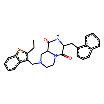 CCc1sc2ccccc2c1CN1CCN2C(=O)C(Cc3cccc4ccccc34)NC(=O)C2C1